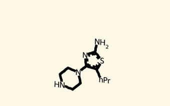 CCCc1sc(N)nc1N1CCNCC1